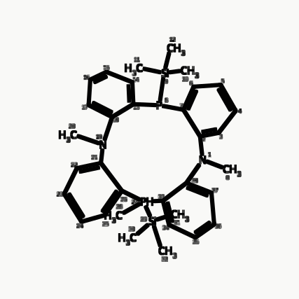 CN1c2ccccc2P([Si](C)(C)C)c2ccccc2N(C)c2ccccc2[PH](C)([Si](C)(C)C)c2ccccc21